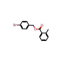 Cc1ccccc1C(=O)OCc1ccc(Br)cc1